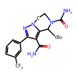 CC(C)(C)C1c2c(C(N)=O)c(-c3cccc(C(F)(F)F)c3)nn2CCN1C(N)=O